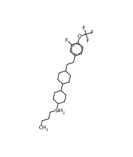 CCCC[SiH2]C1CCC(C2CCC(CCc3ccc(OC(F)(F)F)c(F)c3)CC2)CC1